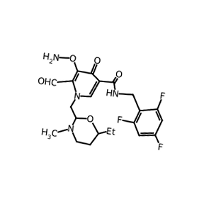 CCC1CCN(C)C(Cn2cc(C(=O)NCc3c(F)cc(F)cc3F)c(=O)c(ON)c2C=O)O1